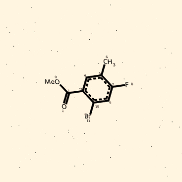 COC(=O)c1cc(C)c(F)cc1Br